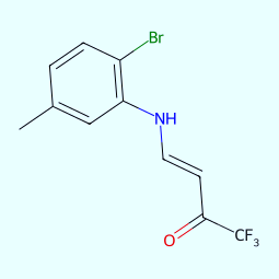 Cc1ccc(Br)c(NC=CC(=O)C(F)(F)F)c1